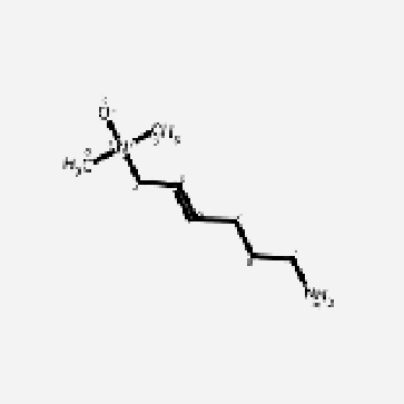 C[N+](C)([O-])CC=CCCCN